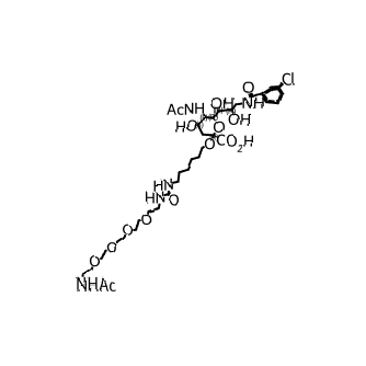 CC(=O)NCCOCCOCCOCCOCCNC(=O)NCCCCCCO[C@]1(C(=O)O)C[C@H](O)[C@@H](NC(C)=O)[C@H]([C@H](O)[C@H](O)CNC(=O)c2cccc(Cl)c2)O1